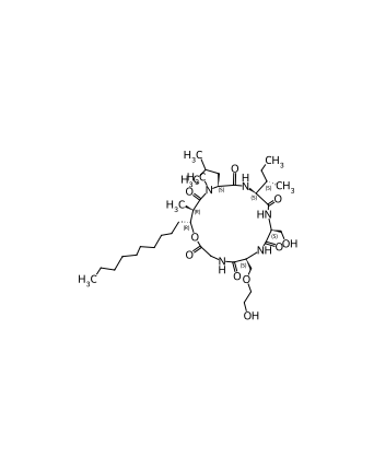 CCCCCCCCCC[C@H]1OC(=O)CNC(=O)[C@H](COCCO)NC(=O)[C@H](CO)NC(=O)[C@H]([C@@H](C)CC)NC(=O)[C@H](CC(C)C)N(C)C(=O)[C@@H]1C